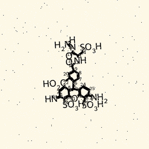 N=c1ccc2c(-c3ccc(C(=O)NC(CS(=O)(=O)O)C(=O)NN)cc3C(=O)O)c3ccc(N)c(S(=O)(=O)O)c3oc-2c1S(=O)(=O)O